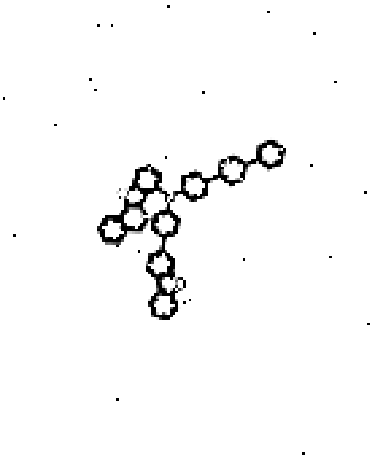 c1ccc(-c2ccc(-c3ccc(N(c4ccc(-c5ccc6c(c5)oc5ccccc56)cc4)c4cccc5oc6c7ccccc7ccc6c45)cc3)cc2)cc1